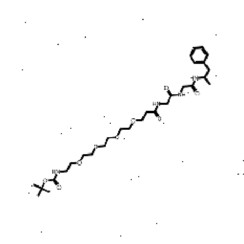 CC(Cc1ccccc1)NC(=O)CNC(=O)CNC(=O)CCOCCOCCOCCOCCNC(=O)OC(C)(C)C